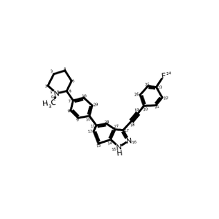 CN1CCCCC1c1[c]cc(-c2ccc3[nH]nc(C#Cc4ccc(F)cc4)c3c2)cc1